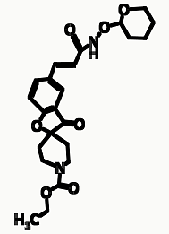 CCOC(=O)N1CCC2(CC1)Oc1ccc(C=CC(=O)NOC3CCCCO3)cc1C2=O